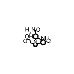 COc1ccc(-c2ccc(CCC(=O)O)n2-c2ccc(C(N)=O)cc2CN)cc1